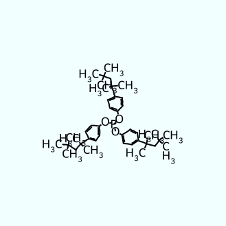 CC(C)(C)CC(C)(C)c1ccc(OP(Oc2ccc(C(C)(C)CC(C)(C)C)cc2)Oc2ccc(C(C)(C)CC(C)(C)C)cc2)cc1